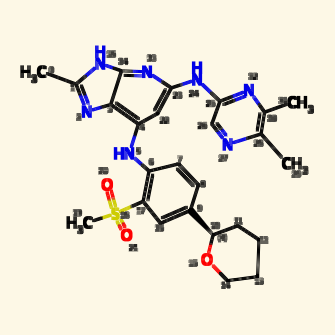 Cc1nc2c(Nc3ccc([C@H]4CCCCO4)cc3S(C)(=O)=O)cc(Nc3cnc(C)c(C)n3)nc2[nH]1